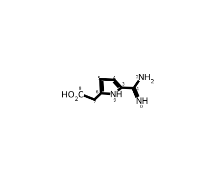 N=C(N)c1ccc(CC(=O)O)[nH]1